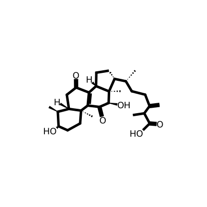 C=C(CC[C@@H](C)[C@H]1CC[C@H]2C3=C(C(=O)[C@H](O)[C@]12C)[C@@]1(C)CC[C@@H](O)[C@@H](C)[C@@H]1CC3=O)C(C)C(=O)O